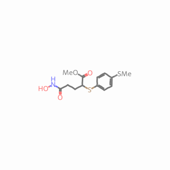 COC(=O)C(CCC(=O)NO)Sc1ccc(SC)cc1